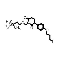 C[Si](C)(C)CCOCN1C(=O)CCC(c2ccc(OCCCI)cc2)C1=O